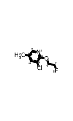 Cc1cnc(OCCF)c(Cl)c1